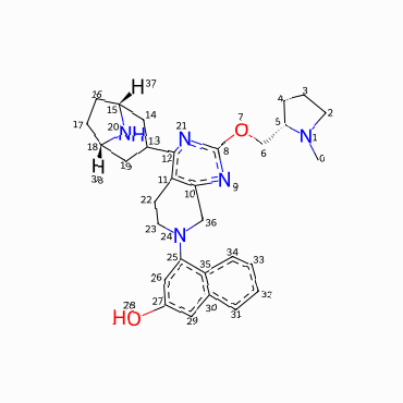 CN1CCC[C@H]1COc1nc2c(c(C3C[C@H]4CC[C@@H](C3)N4)n1)CCN(c1cc(O)cc3ccccc13)C2